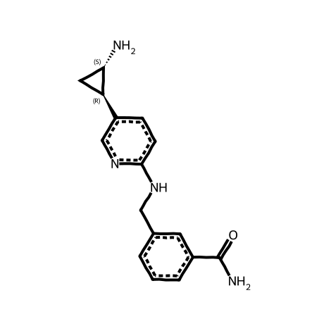 NC(=O)c1cccc(CNc2ccc([C@H]3C[C@@H]3N)cn2)c1